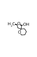 C=CCC1(C(=O)O)CCCCO1